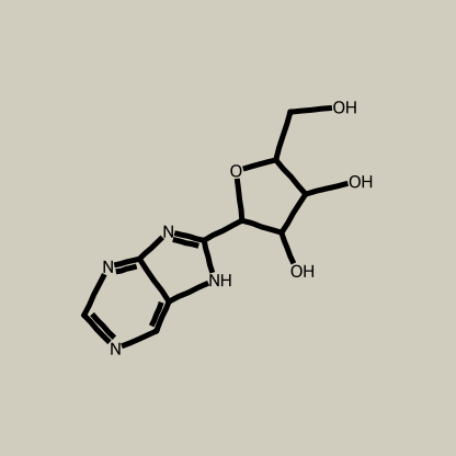 OCC1OC(c2nc3ncncc3[nH]2)C(O)C1O